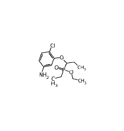 CCOP(=O)(CC)C(CC)Oc1cc(N)ccc1Cl